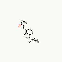 CC(=O)CCC1CCCC2C1CCC1CCC(C)C12